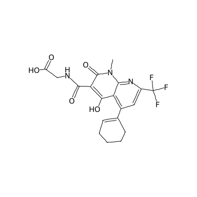 Cn1c(=O)c(C(=O)NCC(=O)O)c(O)c2c(C3=CCCCC3)cc(C(F)(F)F)nc21